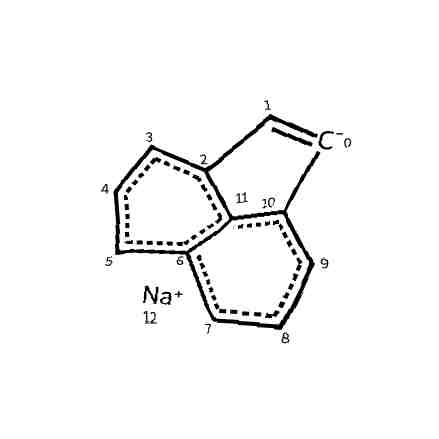 [C-]1=Cc2cccc3cccc1c23.[Na+]